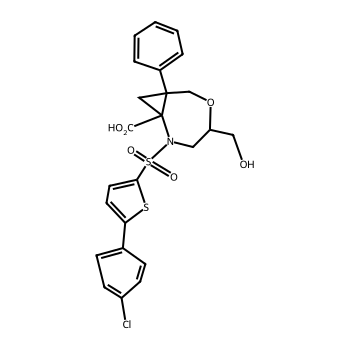 O=C(O)C12CC1(c1ccccc1)COC(CO)CN2S(=O)(=O)c1ccc(-c2ccc(Cl)cc2)s1